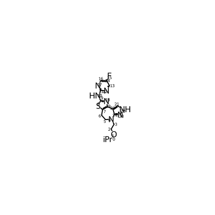 CC(C)OCCN1CCc2sc(Nc3ncc(F)cn3)nc2-c2c[nH]nc21